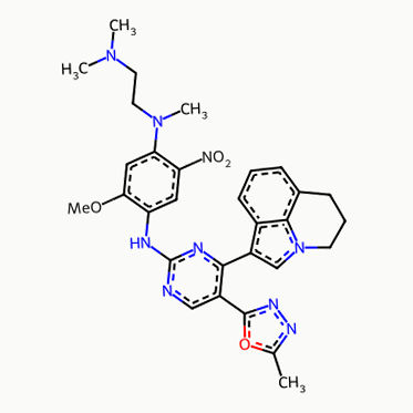 COc1cc(N(C)CCN(C)C)c([N+](=O)[O-])cc1Nc1ncc(-c2nnc(C)o2)c(-c2cn3c4c(cccc24)CCC3)n1